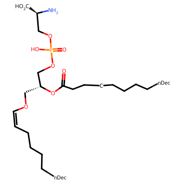 CCCCCCCCCCCCCC/C=C\OC[C@H](COP(=O)(O)OC[C@H](N)C(=O)O)OC(=O)CCCCCCCCCCCCCCCCC